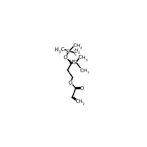 C=CC(=O)OCCC(O[Si](C)(C)C)[SiH](C)C